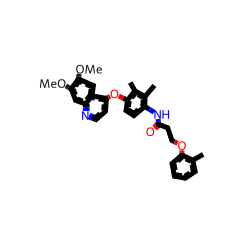 COc1cc2nccc(Oc3ccc(NC(=O)CCOc4ccccc4C)c(C)c3C)c2cc1OC